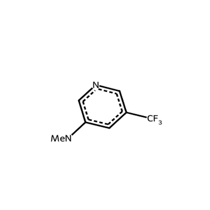 [CH2]Nc1cncc(C(F)(F)F)c1